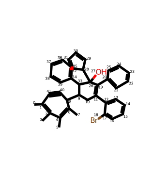 CC1=C(C)C(C)=C(C)C(C2CC(c3ccccc3Br)=C(c3ccccc3)C(O)(C3C=CC=C3)C2c2ccccc2)C#C1